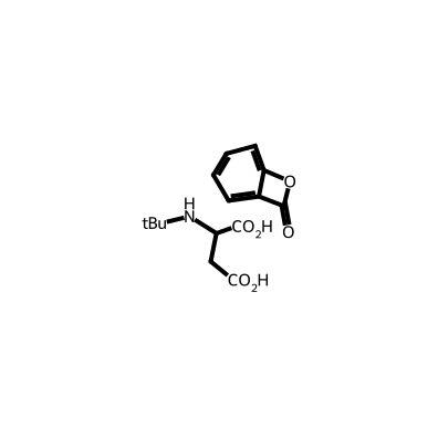 CC(C)(C)NC(CC(=O)O)C(=O)O.O=C1Oc2ccccc21